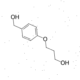 OCCCOc1ccc(CO)cc1